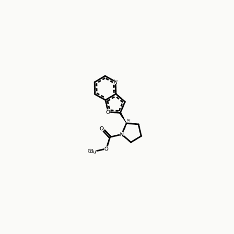 CC(C)(C)OC(=O)N1CCC[C@@H]1c1cc2ncccc2o1